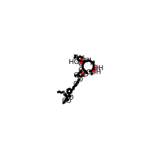 CCCCn1cc(C(=O)OCC)c(=O)c2cc(C=CCOCCO[C@H]3[C@H](C)OC(O[C@H]4[C@H](C)[C@@H](O[C@@H]5O[C@H](C)C[C@H](N(C)C)[C@H]5O)[C@](C)(O)C[C@@H](C)CN(C)[C@H](C)[C@H](O)[C@](C)(O)[C@@H](CC)OC(=O)[C@@H]4C)C[C@@]3(C)OC)ccc21